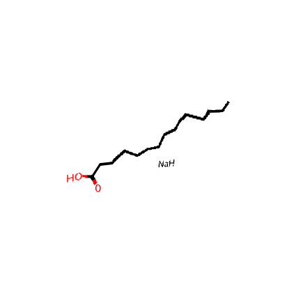 CCCCCCCCCCCCCC(=O)O.[NaH]